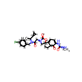 CNC(=O)NC1=CC=C2C(CC[C@]23CN(CC(=O)N(Cc2ccc(F)cc2)C(C)C2CC2)C(=O)O3)C1=O